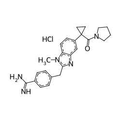 Cl.Cn1c(Cc2ccc(C(=N)N)cc2)nc2cc(C3(C(=O)N4CCCC4)CC3)ccc21